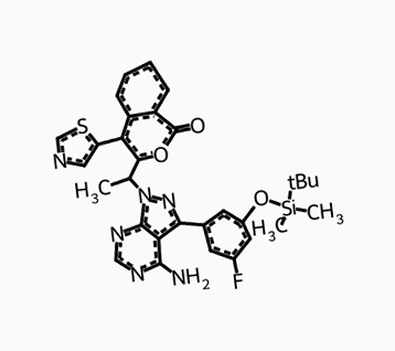 CC(c1oc(=O)c2ccccc2c1-c1cncs1)n1nc(-c2cc(F)cc(O[Si](C)(C)C(C)(C)C)c2)c2c(N)ncnc21